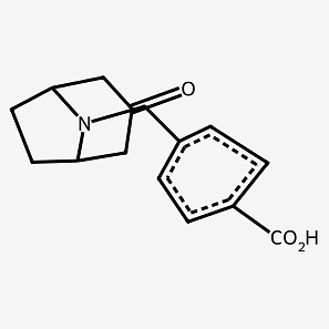 O=C1CC2CCC(C1)N2Cc1ccc(C(=O)O)cc1